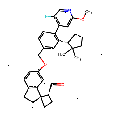 COc1cc(-c2ccc(COc3ccc4c(c3)[C@@]3(CC4)CC[C@@H]3C=O)cc2[C@@H]2CCCC2(C)C)c(F)cn1